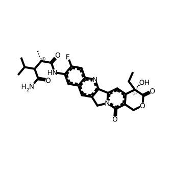 CC[C@@]1(O)C(=O)OCc2c1cc1n(c2=O)Cc2cc3cc(NC(=O)[C@@H](C)C(C(N)=O)C(C)C)c(F)cc3nc2-1